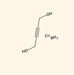 OCC#CCO.[BiH3].[Cu]